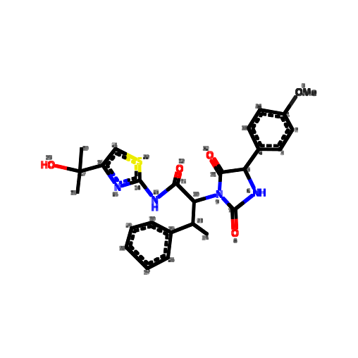 COc1ccc(C2NC(=O)N(C(C(=O)Nc3nc(C(C)(C)O)cs3)C(C)c3ccccc3)C2=O)cc1